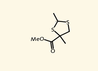 COC(=O)C1(C)CS[C](C)S1